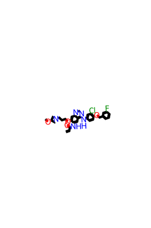 C=CC(=O)Nc1cc2c(Nc3ccc(OCc4cccc(F)c4)c(Cl)c3)ncnc2cc1OCCCN1CC(OC)C1